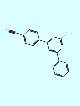 N#Cc1ccc(-c2cc(-c3ccccc3)nc(N)n2)cc1